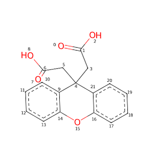 O=C(O)CC1(CC(=O)O)c2ccccc2Oc2ccccc21